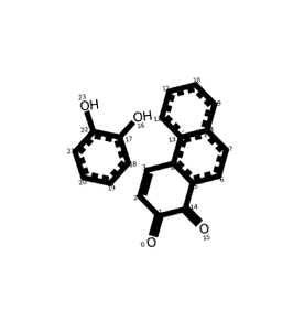 O=C1C=Cc2c(ccc3ccccc23)C1=O.Oc1ccccc1O